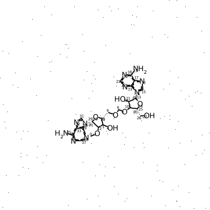 COC1C(O)[C@@H](COCOC2C(O)[C@H](n3cnc4c(N)ncnc43)O[C@@H]2CO)O[C@H]1n1cnc2c(N)ncnc21